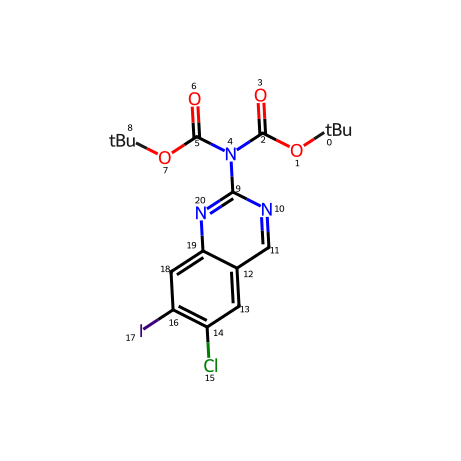 CC(C)(C)OC(=O)N(C(=O)OC(C)(C)C)c1ncc2cc(Cl)c(I)cc2n1